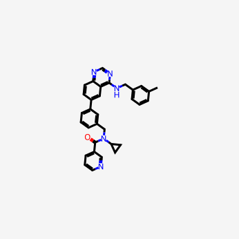 Cc1cccc(CNc2ncnc3ccc(-c4cccc(CN(C(=O)c5cccnc5)C5CC5)c4)cc23)c1